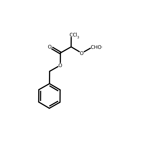 O=[C]OC(C(=O)OCc1ccccc1)C(Cl)(Cl)Cl